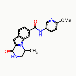 COc1ccc(NC(=O)c2ccc3cc4n(c3c2)C(C)CNC4=O)cn1